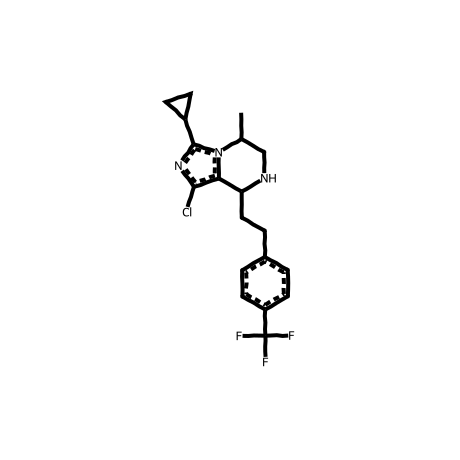 CC1CNC(CCc2ccc(C(F)(F)F)cc2)c2c(Cl)nc(C3CC3)n21